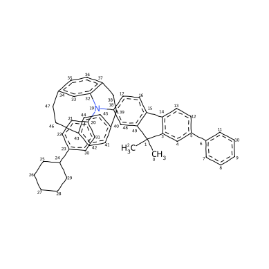 CC1(C)c2cc(-c3ccccc3)ccc2-c2ccc(N(c3ccc(C4CCCCC4)cc3)c3cc4ccc3CCc3ccc(cc3)CC4)cc21